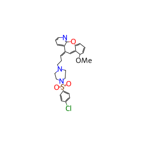 COC1C=CC=C2Oc3ncccc3C(=CCCN3CCN(S(=O)(=O)c4ccc(Cl)cc4)CC3)C=C21